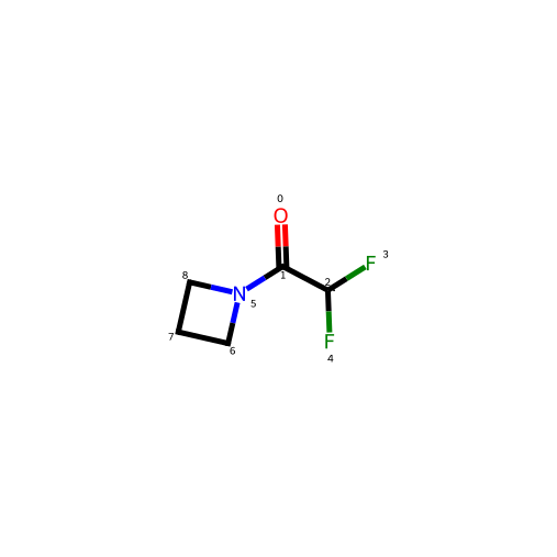 O=C([C](F)F)N1CCC1